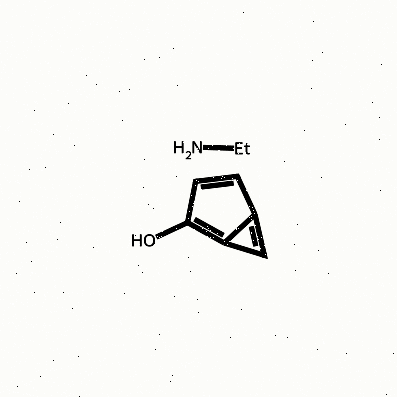 CCN.Oc1ccc2cc1-2